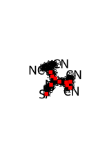 C[Si](C)(C)c1ccc2nc(-c3cc(-c4ccc(-n5c6cc(C#N)ccc6c6ccc(C#N)cc65)cc4)cc(-c4ccc(-n5c6cc(C#N)ccc6c6ccc(C#N)cc65)cc4)c3)sc2c1